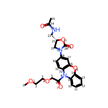 COCCOCC(=O)N1c2ccccc2Oc2cc(N3C[C@H](CNC(C)=O)OC3=O)ccc21